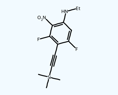 CCNc1cc(F)c(C#C[Si](C)(C)C)c(F)c1[N+](=O)[O-]